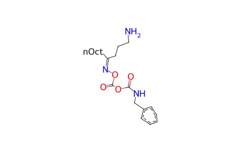 CCCCCCCCC(CCCN)=NOC(=O)OC(=O)NCc1ccccc1